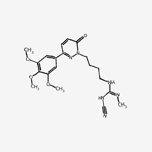 C/N=C(\NC#N)NCCCCn1nc(-c2cc(OC)c(OC)c(OC)c2)ccc1=O